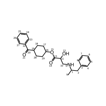 CC(Cc1ccccc1)NCC(O)C(=O)OC1CCC(C(=O)c2ccccc2)CC1